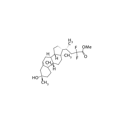 COC(=O)C(F)(F)C[C@@H](C)[C@H]1CC[C@H]2[C@@H]3CC=C4C[C@@](C)(O)CC[C@]4(C)[C@H]3CC[C@]12C